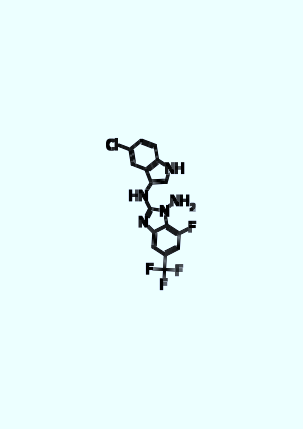 Nn1c(Nc2c[nH]c3ccc(Cl)cc23)nc2cc(C(F)(F)F)cc(F)c21